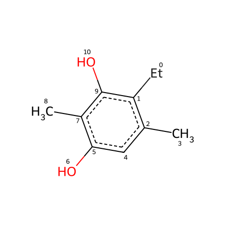 CCc1c(C)cc(O)c(C)c1O